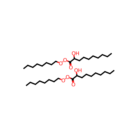 CCCCCCCCOOC(=O)C(O)CCCCCCCC.CCCCCCCCOOC(=O)C(O)CCCCCCCC